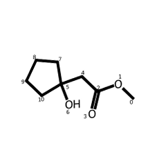 COC(=O)CC1(O)CCCC1